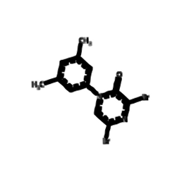 Cc1cc(C)cc(-n2cc(Br)nc(Br)c2=O)c1